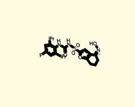 CC(C)c1cc(F)cc(C(C)C)c1NC(=O)NS(=O)(=O)c1cc2c(o1)CCC/C2=N/O